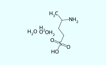 CC(N)CCS(=O)(=O)O.O.O.O